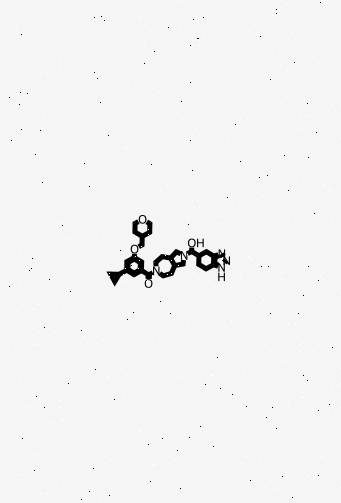 O=C(c1cc(OCC2CCOCC2)cc(C2CC2)c1)N1CCC2CN(C(O)C3CCc4[nH]nnc4C3)CC2CC1